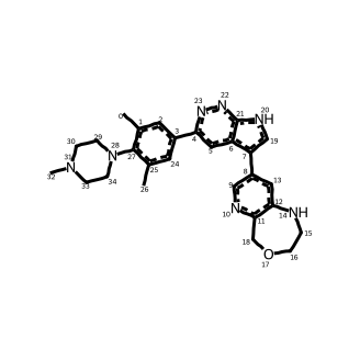 Cc1cc(-c2cc3c(-c4cnc5c(c4)NCCOC5)c[nH]c3nn2)cc(C)c1N1CCN(C)CC1